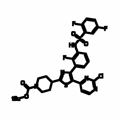 CC(C)(C)OC(=O)N1CCC(c2nc(-c3cccc(NS(=O)(=O)c4cc(F)ccc4F)c3F)c(-c3ccnc(Cl)n3)s2)CC1